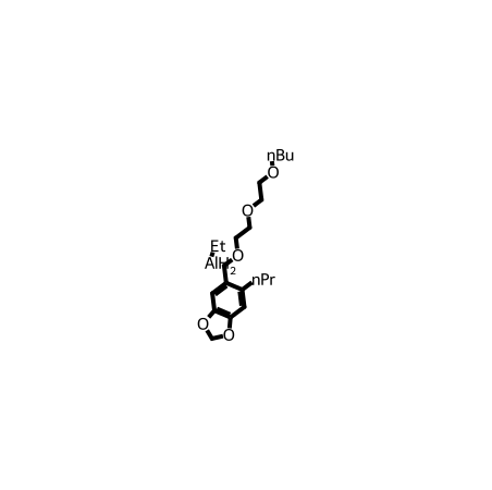 CCCCOCCOCCOCc1cc2c(cc1CCC)OCO2.C[CH2][AlH2]